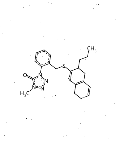 CCCC1CC2=C(CCC=C2)N=C1SCc1ccccc1-n1nnn(C)c1=O